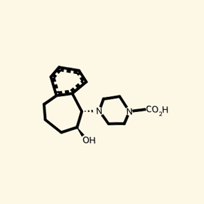 O=C(O)N1CCN([C@H]2c3ccccc3CCC[C@@H]2O)CC1